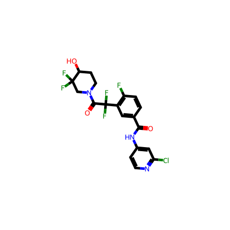 O=C(Nc1ccnc(Cl)c1)c1ccc(F)c(C(F)(F)C(=O)N2CCC(O)C(F)(F)C2)c1